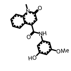 COc1cc(O)cc(NC(=O)c2cc(=O)n(C)c3ccccc23)c1